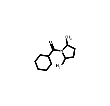 CC1CCC(C)N1C(=O)C1CCCCC1